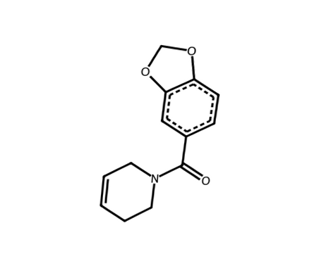 O=C(c1ccc2c(c1)OCO2)N1CC=CCC1